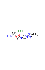 C[C@H](N)COC1CCN(C2CCN(c3ncc(C(F)(F)F)cn3)CC2)C1=O.Cl